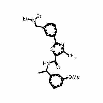 CCN(CC)Cc1cccc(-c2nc(C(F)(F)F)c(C(=O)NC(C)c3cccc(OC)c3)s2)c1